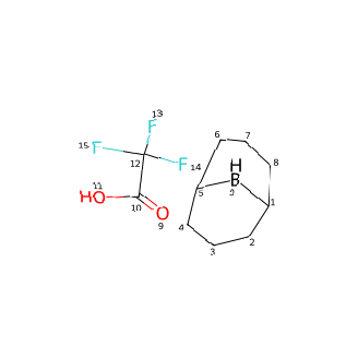 B1C2CCCC1CCC2.O=C(O)C(F)(F)F